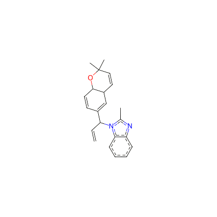 C=CC(C1=CC2C=CC(C)(C)OC2C=C1)n1c(C)nc2ccccc21